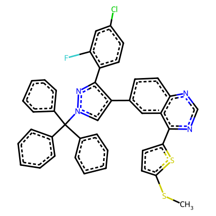 CSc1ccc(-c2ncnc3ccc(-c4cn(C(c5ccccc5)(c5ccccc5)c5ccccc5)nc4-c4ccc(Cl)cc4F)cc23)s1